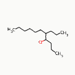 CCCCCCC(CCC)C([O])CCC